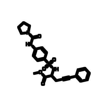 COC(=O)C(CC#Cc1ccccc1)NS(=O)(=O)c1ccc(NC(=O)N2CCCC2)cc1